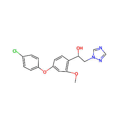 COc1cc(Oc2ccc(Cl)cc2)ccc1C(O)Cn1cncn1